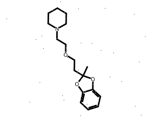 CC1(CCOCCN2CCCCC2)Oc2ccccc2O1